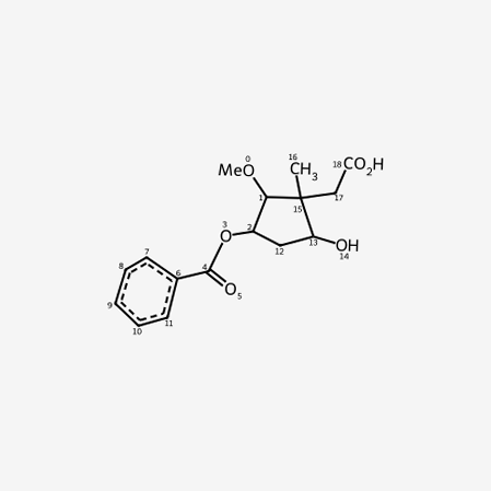 COC1C(OC(=O)c2ccccc2)CC(O)C1(C)CC(=O)O